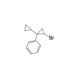 BrC1CC1(c1ccccc1)C1CC1